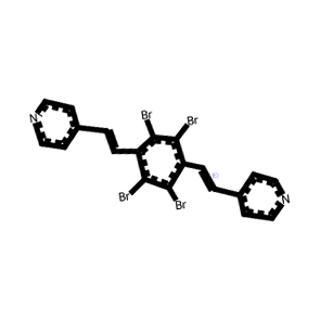 Brc1c(Br)c(/C=C/c2ccncc2)c(Br)c(Br)c1C=Cc1ccncc1